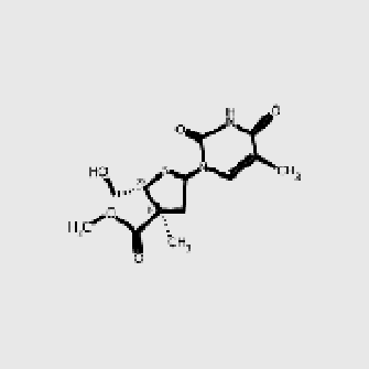 COC(=O)[C@]1(C)CC(n2cc(C)c(=O)[nH]c2=O)S[C@H]1CO